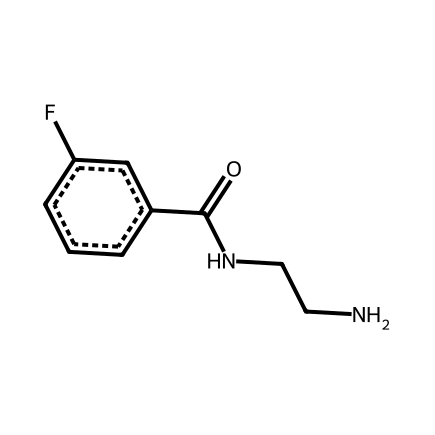 NCCNC(=O)c1cccc(F)c1